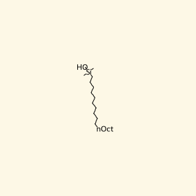 CCCCCCCCCCCCCCCCCC[Si](C)(C)O